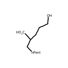 CCCCCCC(CCCO)C(=O)O